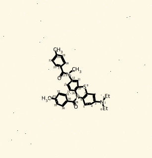 CCN(CC)c1ccc2c(c1)Sc1cc(N(C)C(=O)c3ccc(C)cc3)ccc1N2C(=O)c1ccc(C)cc1